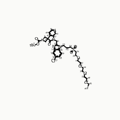 CC(C)(C)OC(=O)N1CC2(C1)C(=O)N(Cc1nc3cc(Cl)ccc3n1CCCS(=O)(=O)CCOCCOCCOCCOCI)c1cnccc12